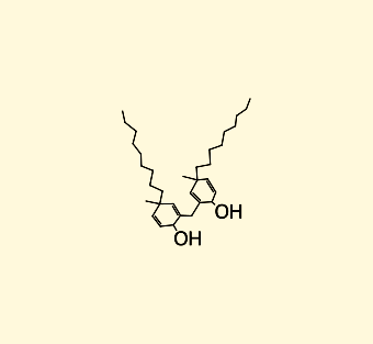 CCCCCCCCCC1(C)C=CC(O)C(CC2=CC(C)(CCCCCCCCC)C=CC2O)=C1